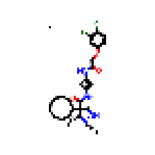 CN1NCC(C(=O)NC23CC(NC(=O)COc4ccc(Cl)c(F)c4)(C2)C3)(C2CCCCCCCC2)C1C(F)(F)F